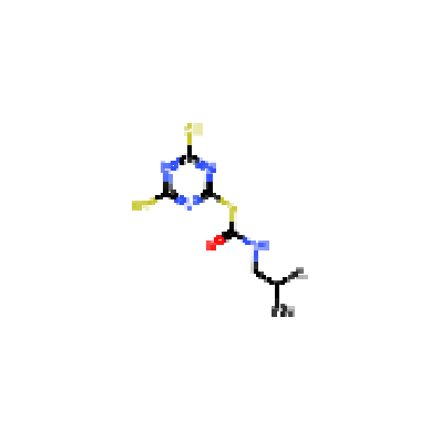 CCCCC(CC)CNC(=O)Sc1nc(S)nc(S)n1